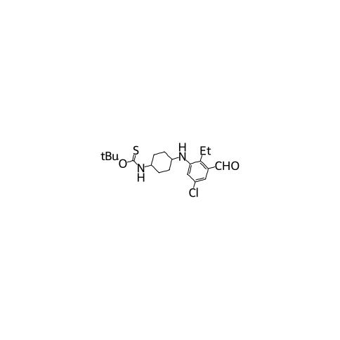 CCc1c(C=O)cc(Cl)cc1NC1CCC(NC(=S)OC(C)(C)C)CC1